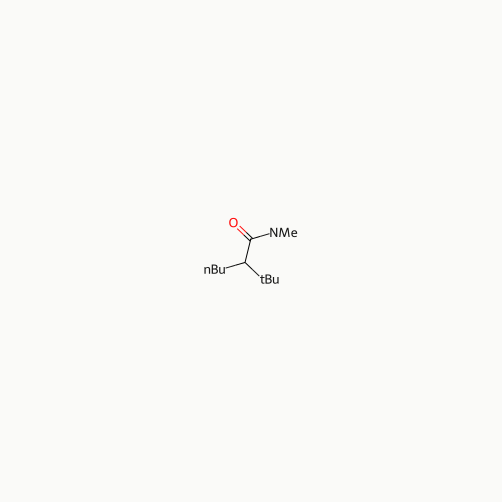 CCCCC(C(=O)NC)C(C)(C)C